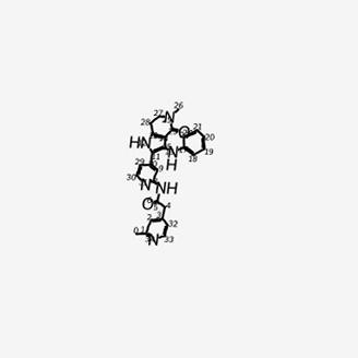 Cc1cc(CC(=O)Nc2cc(-c3[nH]c4c(c3Nc3ccccc3)C(=O)N(C)CC4)ccn2)ccn1